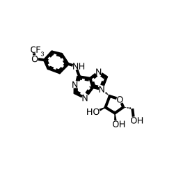 OC[C@H]1O[C@@H](n2cnc3c(Nc4ccc(OC(F)(F)F)cc4)ncnc32)[C@H](O)[C@@H]1O